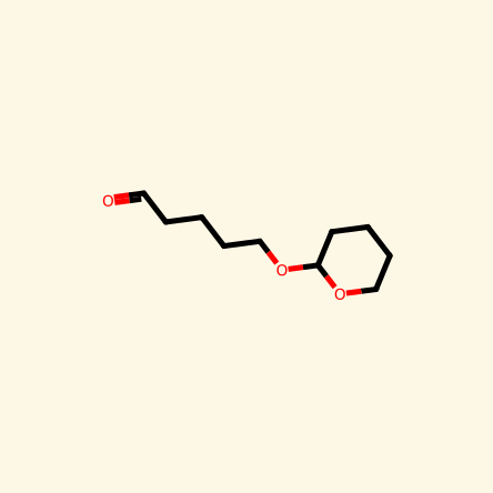 O=CCCCCOC1CCCCO1